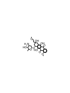 COCC[C@]1(O)Cc2c(O)c3c(c(O)c2[C@@H](O[C@H]2CC(N)[C@H](O)C(C)O2)C1)C(=O)c1c(OC)cccc1C3=O